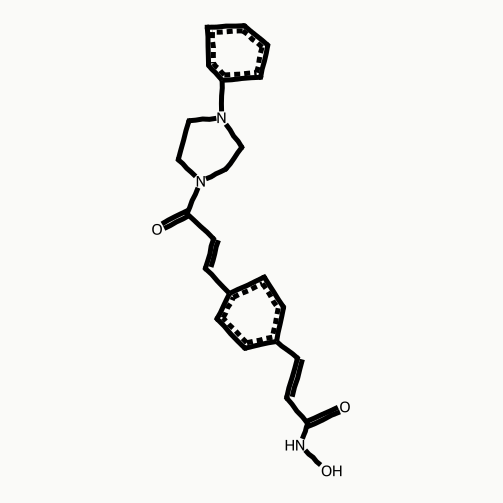 O=C(/C=C/c1ccc(/C=C/C(=O)N2CCN(c3ccccc3)CC2)cc1)NO